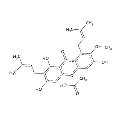 CC(=O)O.COc1c(O)cc2oc3cc(O)c(CC=C(C)C)c(O)c3c(=O)c2c1CC=C(C)C